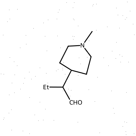 CCC(C=O)C1CCN(C)CC1